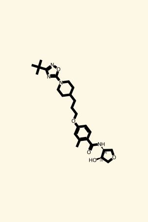 Cc1cc(OCCCC2CCN(c3nc(C(C)(C)C)no3)CC2)ccc1C(=O)N[C@@H]1COC[C@H]1O